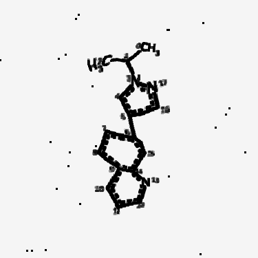 CC(C)n1cc(-c2ccc3cccnc3c2)cn1